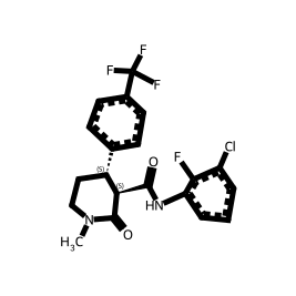 CN1CC[C@H](c2ccc(C(F)(F)F)cc2)[C@@H](C(=O)Nc2cccc(Cl)c2F)C1=O